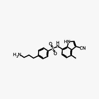 Cc1ccc(NS(=O)(=O)c2ccc(CCCN)cc2)c2[nH]cc(C#N)c12